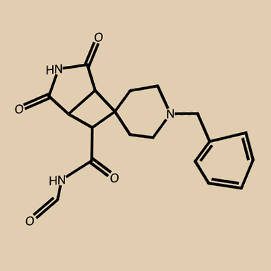 O=CNC(=O)C1C2C(=O)NC(=O)C2C12CCN(Cc1ccccc1)CC2